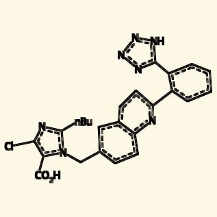 CCCCc1nc(Cl)c(C(=O)O)n1Cc1ccc2nc(-c3ccccc3-c3nnn[nH]3)ccc2c1